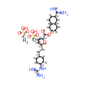 CS(=O)(=O)O.CS(=O)(=O)O.N=C(N)Nc1ccc(CCc2ccc(C(=O)Oc3ccc4cc(C(=N)N)ccc4c3)o2)cc1